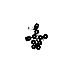 CCC1(c2ccc3c(c2)c2cc(C45CC6CC(CC(C6)C4)C5)cc4c2n3-c2cc3c(sc5ccccc53)c3c2B4N2c4ccccc4C(c4ccccc4)(c4ccccc4)c4cccc-3c42)CC2CCC(C2)C1